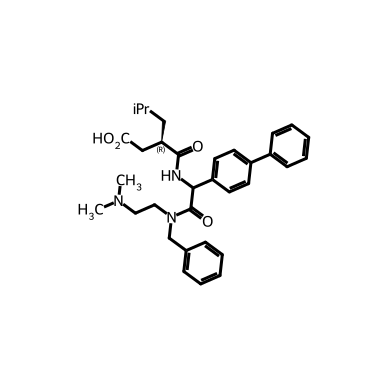 CC(C)C[C@H](CC(=O)O)C(=O)NC(C(=O)N(CCN(C)C)Cc1ccccc1)c1ccc(-c2ccccc2)cc1